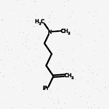 C=C(CCCN(C)C)C(C)C